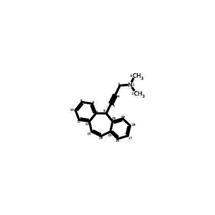 CN(C)CC#CC1c2ccccc2C=Cc2ccccc21